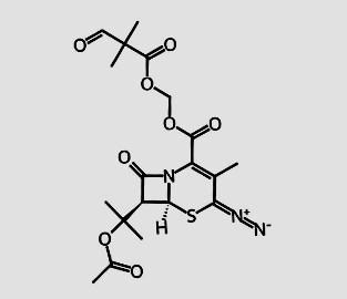 CC(=O)OC(C)(C)[C@H]1C(=O)N2C(C(=O)OCOC(=O)C(C)(C)C=O)=C(C)C(=[N+]=[N-])S[C@@H]12